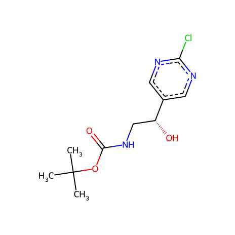 CC(C)(C)OC(=O)NC[C@@H](O)c1cnc(Cl)nc1